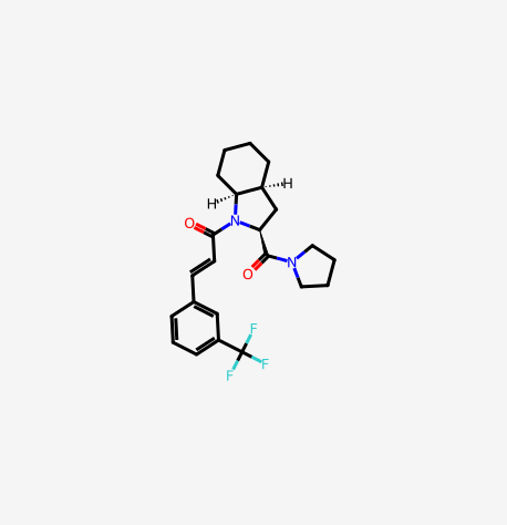 O=C([C@@H]1C[C@@H]2CCCC[C@@H]2N1C(=O)C=Cc1cccc(C(F)(F)F)c1)N1CCCC1